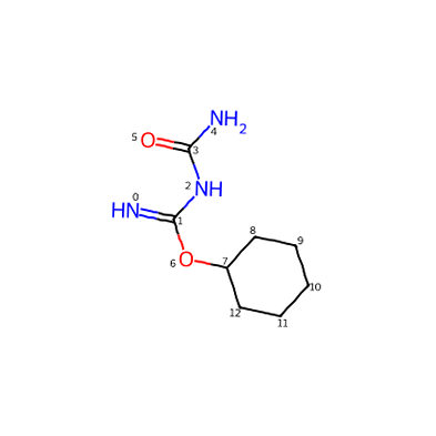 N=C(NC(N)=O)OC1CCCCC1